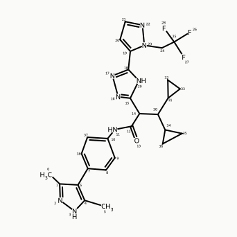 Cc1n[nH]c(C)c1-c1ccc(NC(=O)C(c2nnc(-c3ccnn3CC(F)(F)F)[nH]2)C(C2CC2)C2CC2)cc1